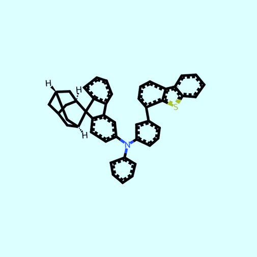 c1ccc(N(c2cccc(-c3cccc4c3sc3ccccc34)c2)c2ccc3c(c2)-c2ccccc2C32[C@H]3CC4C[C@H](C3)C[C@@H]2C4)cc1